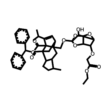 CCOC(=O)COC1C2OC3(OCC45CC6C(C)CCC6C6(C=O)CC4C=C(C(C)C)C65C(=O)OC(c4ccccc4)c4ccccc4)OC2OC1C3O